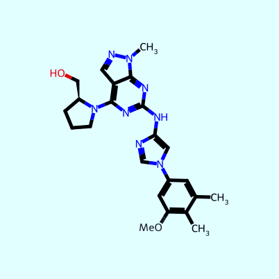 COc1cc(-n2cnc(Nc3nc(N4CCC[C@H]4CO)c4cnn(C)c4n3)c2)cc(C)c1C